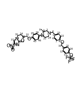 C[C@H]1CN(Cc2ccc(OCc3ccc(OC(F)(F)F)cc3)cc2)CCN1c1ccc(OC[C@@H]2CCn3cc([N+](=O)[O-])nc3O2)cc1